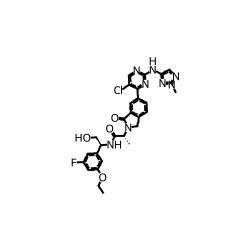 CCOc1cc(F)cc([C@@H](CO)NC(=O)[C@@H](C)N2Cc3ccc(-c4nc(Nc5cnn(C)n5)ncc4Cl)cc3C2=O)c1